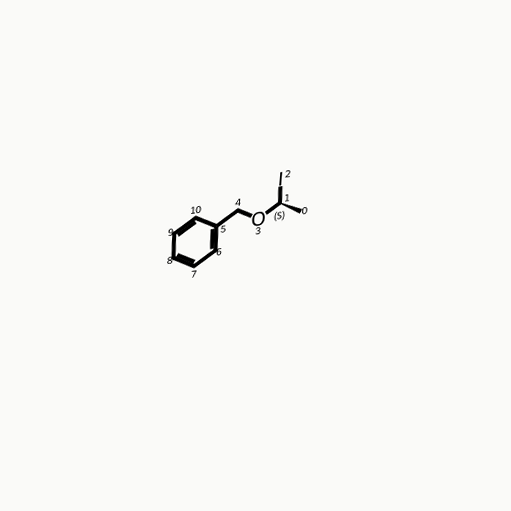 C[C@H](I)OCc1ccccc1